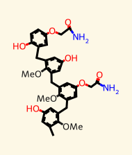 COc1c(C)cc(O)cc1Cc1cc(OCC(N)=O)cc(Cc2cc(O)cc(Cc3cc(OCC(N)=O)ccc3O)c2OC)c1OC